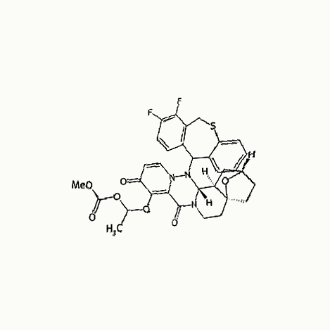 COC(=O)OC(C)Oc1c2n(ccc1=O)N(C1c3ccccc3SCc3c1ccc(F)c3F)[C@@H]1[C@H]3C[C@@H]4CC[C@@]3(CCN1C2=O)O4